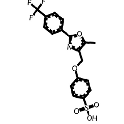 Cc1oc(-c2ccc(C(F)(F)F)cc2)nc1COc1ccc(S(=O)(=O)O)cc1